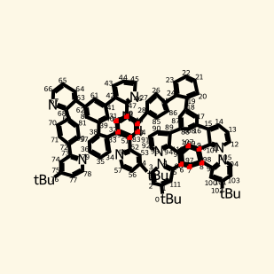 CC(C)(C)c1ccnc(-c2ccc(-c3ncccc3-c3cc(-c4ccccc4-c4ccc(-c5ncc(-c6ccccc6-c6cc(-c7cccnc7-c7ccc(-c8cc(C(C)(C)C)ccn8)cc7)cc(-c7cccnc7-c7ccc(-c8cc(C(C)(C)C)ccn8)cc7)c6)cn5)cc4)cc(-c4cccnc4-c4ccc(-c5cc(C(C)(C)C)ccn5)cc4)c3)cc2)c1